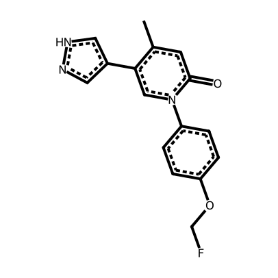 Cc1cc(=O)n(-c2ccc(OCF)cc2)cc1-c1cn[nH]c1